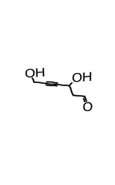 O=CCC(O)C#CCO